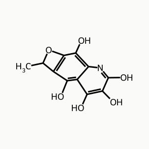 CC1Oc2c1c(O)c1c(O)c(O)c(O)nc1c2O